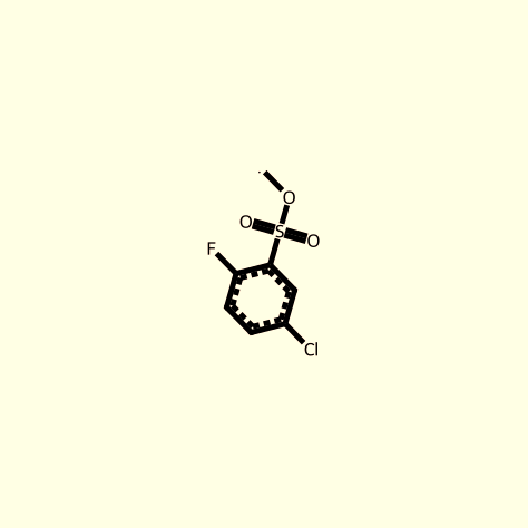 [CH2]OS(=O)(=O)c1cc(Cl)ccc1F